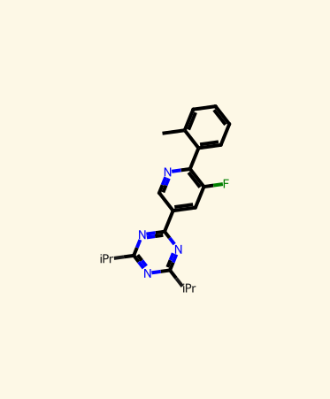 Cc1ccccc1-c1ncc(-c2nc(C(C)C)nc(C(C)C)n2)cc1F